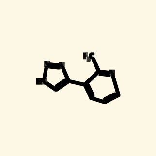 FC(F)(F)c1ncccc1-c1c[nH]nn1